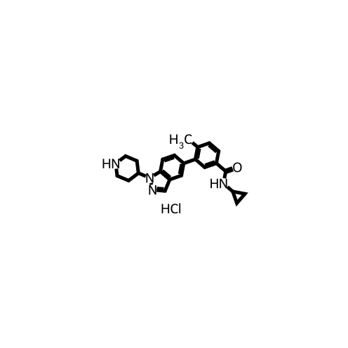 Cc1ccc(C(=O)NC2CC2)cc1-c1ccc2c(cnn2C2CCNCC2)c1.Cl